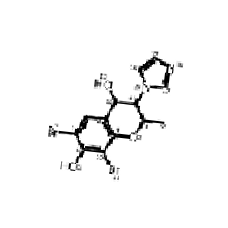 CC1Oc2c(cc(Br)c(O)c2Br)C(O)C1n1ccnc1